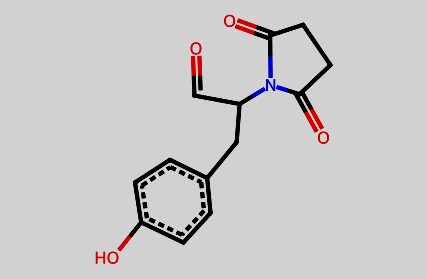 O=CC(Cc1ccc(O)cc1)N1C(=O)CCC1=O